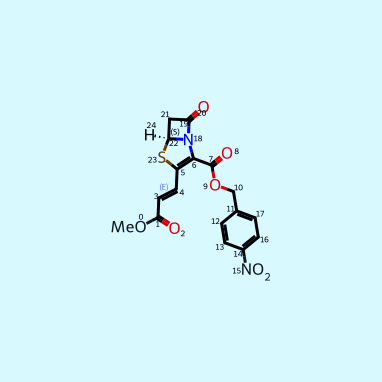 COC(=O)/C=C/C1=C(C(=O)OCc2ccc([N+](=O)[O-])cc2)N2C(=O)C[C@@H]2S1